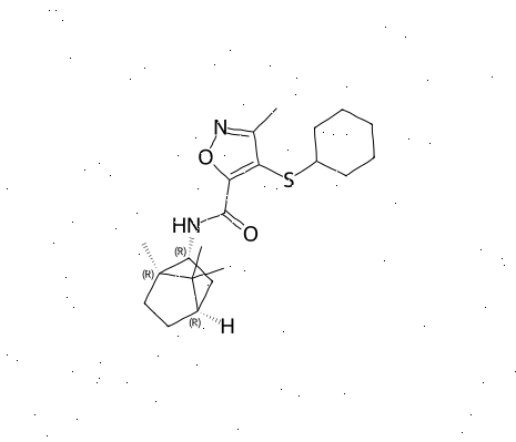 Cc1noc(C(=O)N[C@@H]2C[C@H]3CC[C@]2(C)C3(C)C)c1SC1CCCCC1